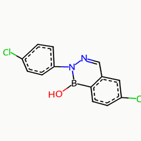 OB1c2ccc(Cl)cc2C=NN1c1ccc(Cl)cc1